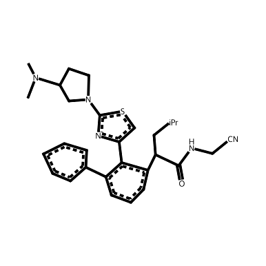 CC(C)CC(C(=O)NCC#N)c1cccc(-c2ccccc2)c1-c1csc(N2CCC(N(C)C)C2)n1